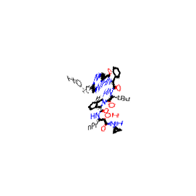 CCC[C@H](NC(=O)[C@@H]1C2CCC[C@H]2CN1C(=O)[C@@H](NC(=O)[C@@H](NC(=O)c1cnc(C(=O)O)cn1)C1CCCCC1)C(C)(C)C)C(O)C(=O)NC1CC1